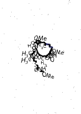 COCCNC(=O)CSCCC(=O)N(C)C(C)C(=O)OC1CC(=O)N(C)c2cc(cc(OC)c2Cl)C/C(C)=C/C=C/C(OC)C2(O)CC(OC(=O)N2)C(C)C2OC12C